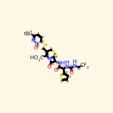 CC(C)(C)c1ccc(SCC2=C(C(=O)O)N3C(=O)[C@@H](NC(=O)C(NC(=O)NCC(F)(F)F)c4cccs4)C3SC2)[n+]([O-])n1